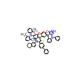 Cc1ccccc1N(c1cc2c3c(c1)N(c1ccc4c(c1)CCCC4)c1c(sc4cc(-c5ccccc5)ccc14)B3c1cc3c(cc1O2)Oc1[nH]nc2c1B3c1ccccc1N2c1ccccc1)c1c(C)cccc1C